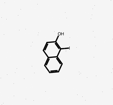 Oc1ccc2ccccc2c1I